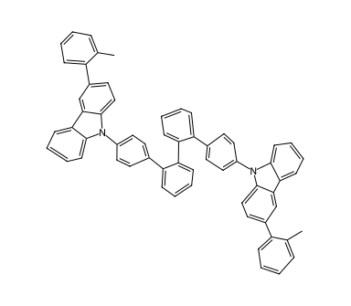 Cc1ccccc1-c1ccc2c(c1)c1ccccc1n2-c1ccc(-c2ccccc2-c2ccccc2-c2ccc(-n3c4ccccc4c4cc(-c5ccccc5C)ccc43)cc2)cc1